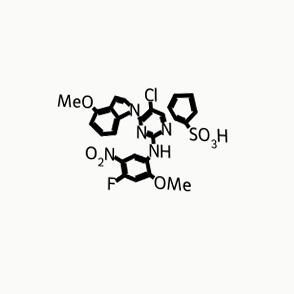 COc1cc(F)c([N+](=O)[O-])cc1Nc1ncc(Cl)c(-n2ccc3c(OC)cccc32)n1.O=S(=O)(O)c1ccccc1